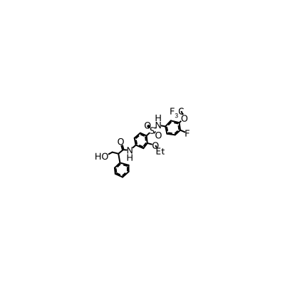 CCOc1cc(NC(=O)C(CO)c2ccccc2)ccc1S(=O)(=O)Nc1ccc(F)c(OC(F)(F)F)c1